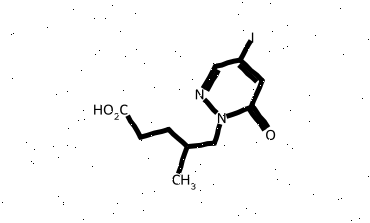 CC(CCC(=O)O)Cn1ncc(I)cc1=O